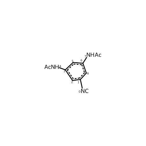 [C-]#[N+]c1cc(NC(C)=O)cc(NC(C)=O)c1